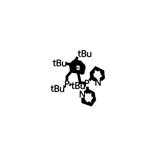 CC(C)(C)P(C[C]12[C]3(CP(c4ccccn4)c4ccccn4)[CH]4[C]5(C(C)(C)C)[C]1(C(C)(C)C)[Fe]43251678[CH]2[CH]1[CH]6[CH]7[CH]28)C(C)(C)C